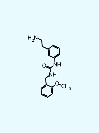 COc1ccccc1CNC(=O)Nc1cccc(CCN)c1